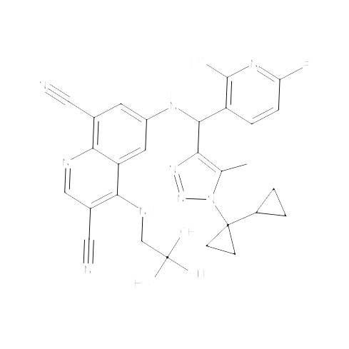 Cc1nc(F)ccc1C(Nc1cc(C#N)c2ncc(C#N)c(NCC(C)(C)C)c2c1)c1nnn(C2(C3CC3)CC2)c1F